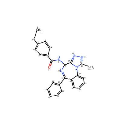 CCc1ccc(C(=O)NC2N=C(c3ccccc3)c3ccccc3-n3c(C)nnc32)cc1